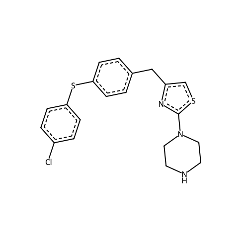 Clc1ccc(Sc2ccc(Cc3csc(N4CCNCC4)n3)cc2)cc1